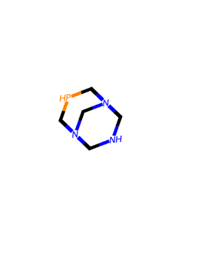 C1NCN2CPCN1C2